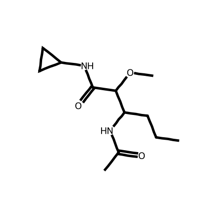 CCCC(NC(C)=O)C(OC)C(=O)NC1CC1